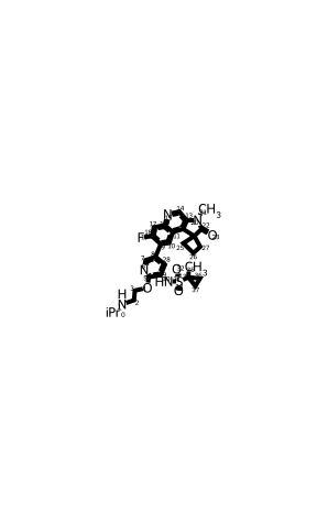 CC(C)NCCOc1ncc(-c2cc3c4c(cnc3cc2F)N(C)C(=O)C42CCC2)cc1NS(=O)(=O)C1(C)CC1